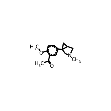 COc1ccc(C23CC2CN(C)C3)cc1C(C)=O